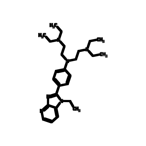 CCN(CC)CCN(CCN(CC)CC)c1ccc(-c2nc3ncccc3n2CC)cc1